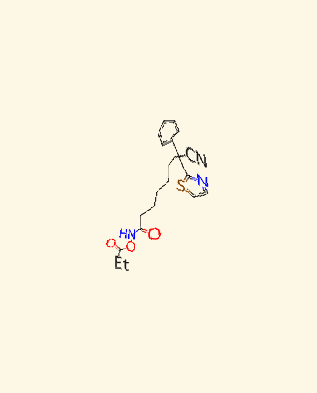 CCC(=O)ONC(=O)CCCCCC(C#N)(c1ccccc1)c1nccs1